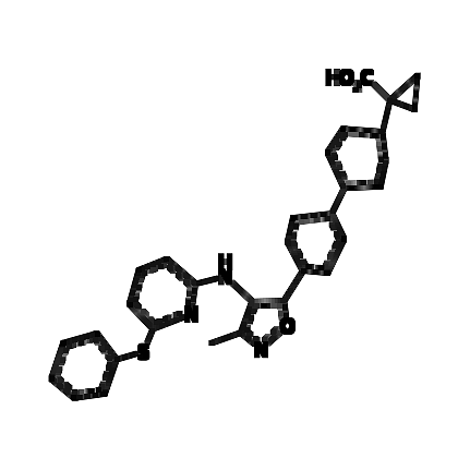 Cc1noc(-c2ccc(-c3ccc(C4(C(=O)O)CC4)cc3)cc2)c1Nc1cccc(Sc2ccccc2)n1